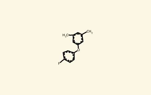 Cc1cc(C)cc(Oc2ccc(F)cc2)c1